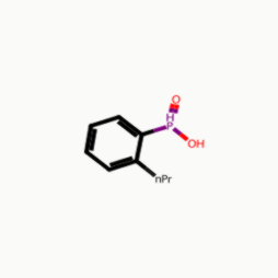 CCCc1ccccc1[PH](=O)O